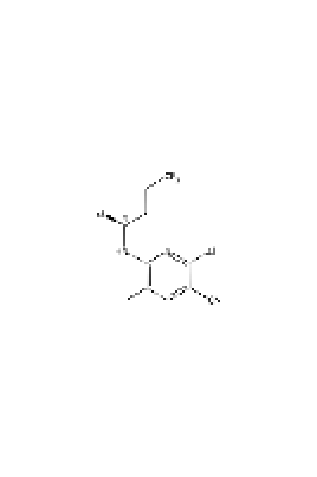 CC[C@@H](CCC(F)(F)F)Nc1nc(Cl)c(C#N)cc1F